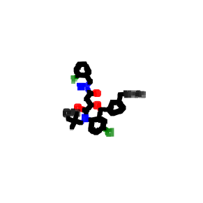 CC(=O)NCc1cccc(C2OC(CC(=O)NCc3ccccc3F)C(=O)N(CC(C)(C)COC(C)=O)c3ccc(Cl)cc32)c1